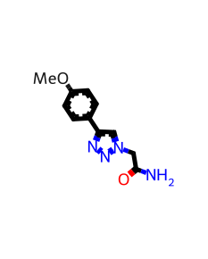 COc1ccc(-c2cn(CC(N)=O)nn2)cc1